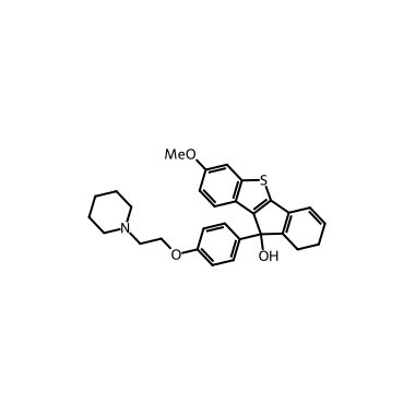 COc1ccc2c3c(sc2c1)C1=C(CCC=C1)C3(O)c1ccc(OCCN2CCCCC2)cc1